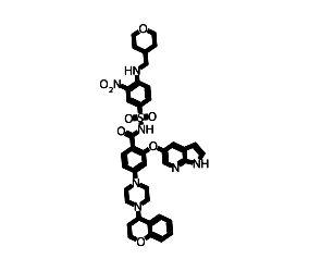 O=C(NS(=O)(=O)c1ccc(NCC2CCOCC2)c([N+](=O)[O-])c1)c1ccc(N2CCN(C3CCOc4ccccc43)CC2)cc1Oc1cnc2[nH]ccc2c1